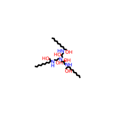 CCCCCCCCC(CO)NCC(O)CN(CC(O)CNC(CO)CCCCCCCC)CC(O)CNC(CO)CCCCCCCC